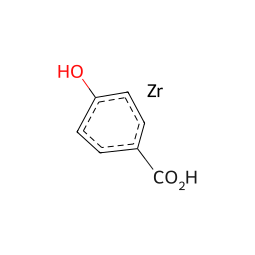 O=C(O)c1ccc(O)cc1.[Zr]